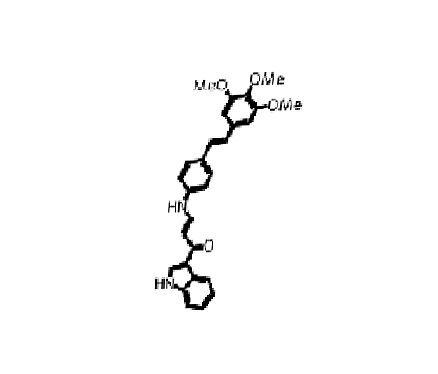 COc1cc(C=Cc2ccc(NC=CC(=O)c3c[nH]c4ccccc34)cc2)cc(OC)c1OC